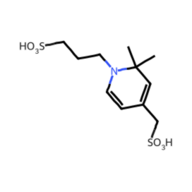 CC1(C)C=C(CS(=O)(=O)O)C=CN1CCCS(=O)(=O)O